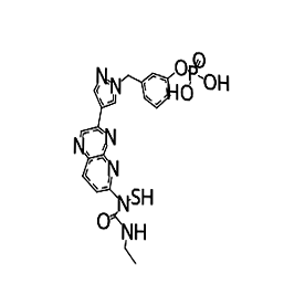 CCNC(=O)N(S)c1ccc2ncc(-c3cnn(Cc4cccc(OP(=O)(O)O)c4)c3)nc2n1